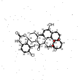 NC(=O)c1cccc2c(O)cc(=O)n([C@@H](Cc3ccccc3)C(=O)N3CCC[C@@]4(C3)OC(=O)Nc3ccc(Cl)c(F)c34)c12